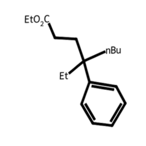 CCCCC(CC)(CCC(=O)OCC)c1ccccc1